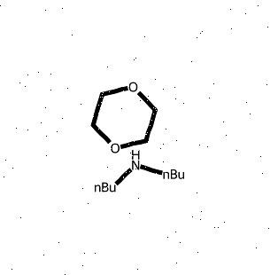 C1COCCO1.CCCCNCCCC